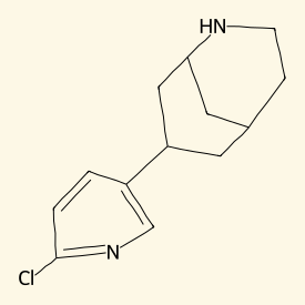 Clc1ccc(C2CC3CCNC(C3)C2)cn1